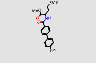 CCCc1ccc(-c2ccc(C(=O)NC(CCSC)C(=O)OC)cc2)cc1